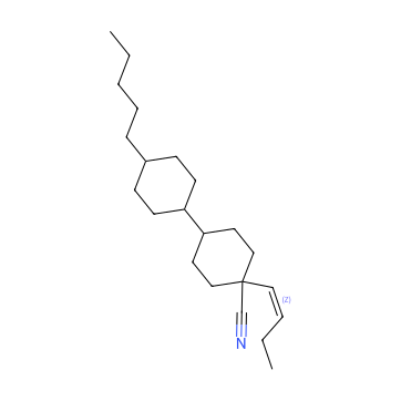 CC/C=C\C1(C#N)CCC(C2CCC(CCCCC)CC2)CC1